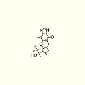 Cn1cnc2c1c(=O)n(Cc1csc(C(C)(O)C(F)(F)F)n1)c(=O)n2C